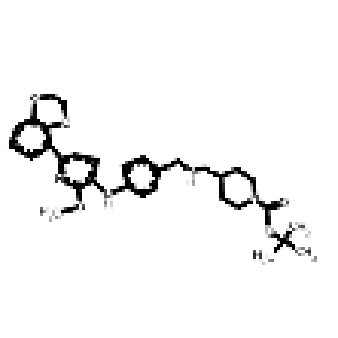 COc1nc(-c2cccc3c2OCCO3)ccc1Nc1ccc(CNCC2CCN(C(=O)OC(C)(C)C)CC2)cc1